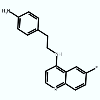 Nc1ccc(CCNc2ccnc3ccc(F)cc23)cc1